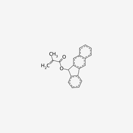 C=C(C)C(=O)OC1c2ccccc2-c2cc3ccccc3cc21